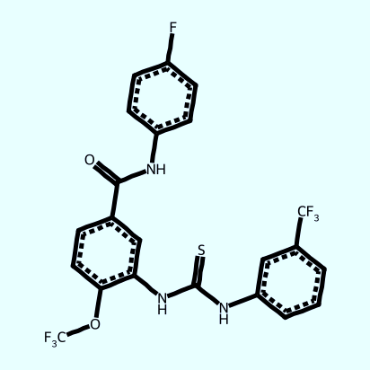 O=C(Nc1ccc(F)cc1)c1ccc(OC(F)(F)F)c(NC(=S)Nc2cccc(C(F)(F)F)c2)c1